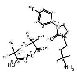 CC(C)(N)CCN1CCN(c2ccc(F)cc2)C1=O.O=C(O)C(F)(F)F.O=C(O)C(F)(F)F